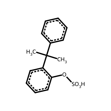 CC(C)(c1ccccc1)c1ccccc1OS(=O)(=O)O